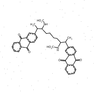 CC(c1ccc2c(c1)C(=O)c1ccccc1C2=O)C(CCCCC(NC(=O)O)C(C)c1ccc2c(c1)C(=O)c1ccccc1C2=O)NC(=O)O